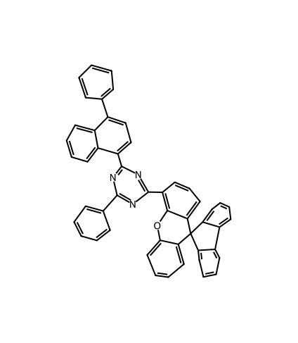 c1ccc(-c2nc(-c3cccc4c3Oc3ccccc3C43c4ccccc4-c4ccccc43)nc(-c3ccc(-c4ccccc4)c4ccccc34)n2)cc1